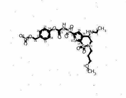 CCN[C@H]1CN(CCCOC)S(=O)(=O)c2sc(S(=O)(=O)NC(=O)Oc3ccc(CO[N+](=O)[O-])cc3)cc21